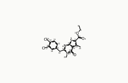 CCOC(=O)c1sc2nc(Cc3ccc(Cl)c(Cl)c3)n(C)c(=O)c2c1C